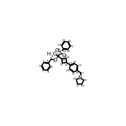 CC(OCc1ccccc1)(C1CC(c2ccc(CN3CCCC3)cc2)C1)S(=O)(=O)c1ccccc1